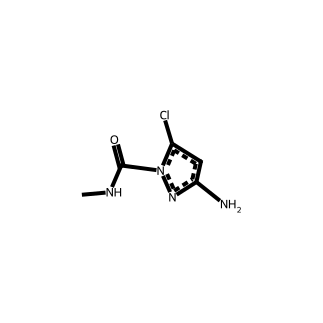 CNC(=O)n1nc(N)cc1Cl